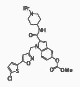 COC(=O)Oc1ccc2c(c1)cc(C(=O)NC1CCN(C(C)C)CC1)n2Cc1cc(-c2ccc(Cl)s2)on1